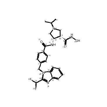 CC(C)N1C[C@H](C(=O)NO)[C@H](NC(=O)c2ccc(Cn3c(C(F)F)nc4ccccc43)cc2)C1